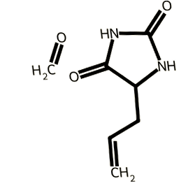 C=CCC1NC(=O)NC1=O.C=O